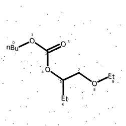 CCCCOC(=O)OC(CC)COCC